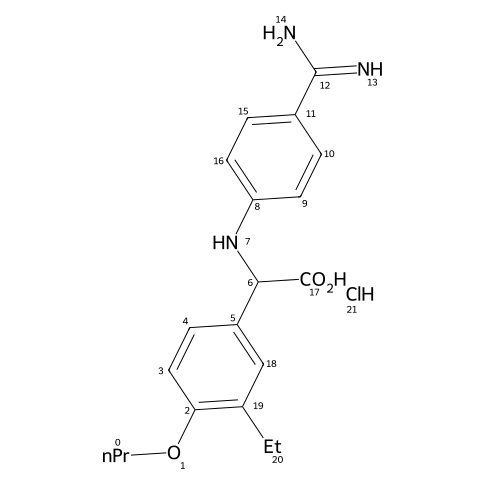 CCCOc1ccc(C(Nc2ccc(C(=N)N)cc2)C(=O)O)cc1CC.Cl